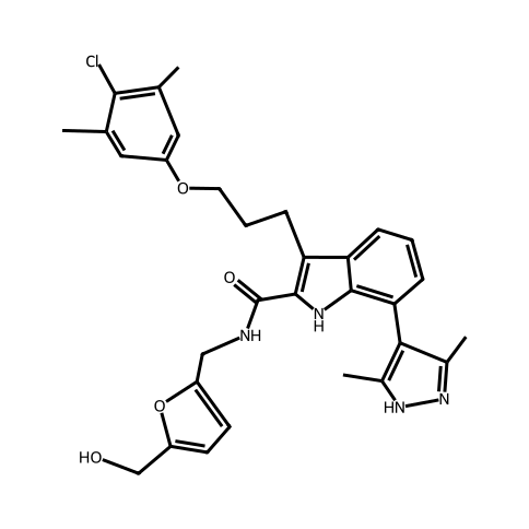 Cc1cc(OCCCc2c(C(=O)NCc3ccc(CO)o3)[nH]c3c(-c4c(C)n[nH]c4C)cccc23)cc(C)c1Cl